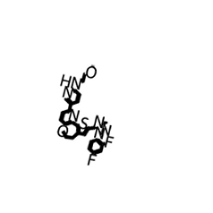 COCCNc1ccc(-c2ccc3c(n2)-c2sc(-c4ncnn4-c4ccc(F)cc4F)cc2CCO3)cn1